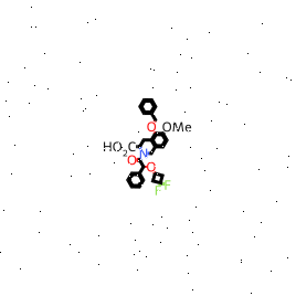 COc1ccc2c(c1OCc1ccccc1)CC(C(=O)O)N(C(=O)[C@@H](OC1CC(F)(F)C1)c1ccccc1)C2